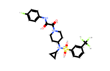 O=C(Nc1ccc(F)cc1)C(=O)N1CCC(N(C2CC2)S(=O)(=O)c2cccc(C(F)(F)F)c2)CC1